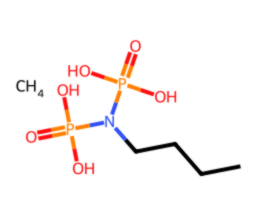 C.CCCCN(P(=O)(O)O)P(=O)(O)O